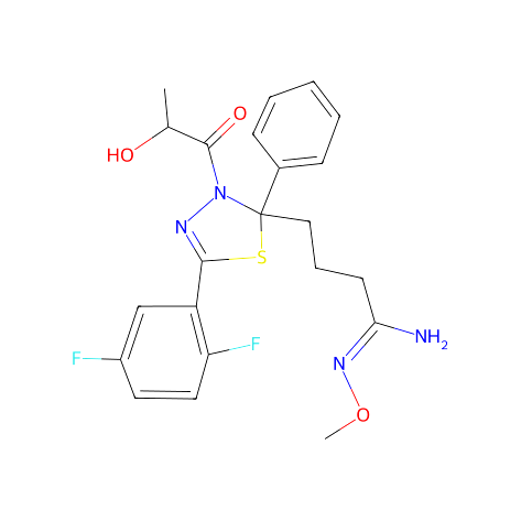 CON=C(N)CCCC1(c2ccccc2)SC(c2cc(F)ccc2F)=NN1C(=O)C(C)O